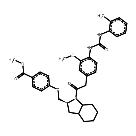 COC(=O)c1ccc(OC[C@@H]2CC3CCCCC3N2C(=O)Cc2ccc(NC(=O)Nc3ccccc3C)c(OC)c2)cc1